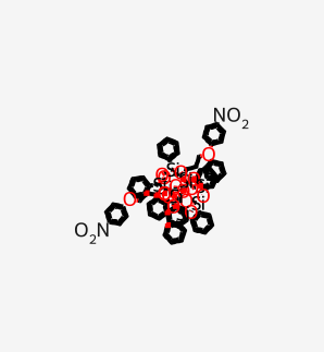 C[Si]1(CCCOc2ccc([N+](=O)[O-])cc2)O[Si]2(c3ccccc3)OC34O[Si](c5ccccc5)(O2)O[Si]2(c5ccccc5)O[Si](C)(CCCOc5ccc([N+](=O)[O-])cc5)O[Si]5(c6ccccc6)O[Si](c6ccccc6)(O[Si](c6ccccc6)(O1)O[Si]3(c1ccccc1)O5)O[Si]4(c1ccccc1)O2